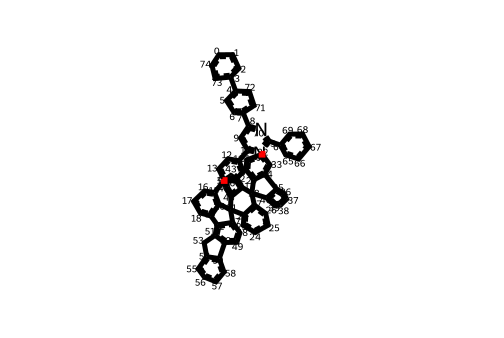 c1ccc(-c2ccc(-c3cc(-c4ccc(-c5cccc6c5C5(c7ccccc7C7(c8ccccc8-c8ccccc87)c7ccccc75)c5ccc7c(c5-6)Cc5ccccc5-7)cc4)nc(-c4ccccc4)n3)cc2)cc1